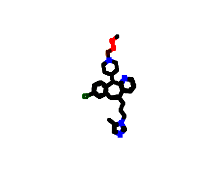 COOSN1CCC(C2c3ccc(Cl)cc3C=C(CCCn3cncc3C)c3cccnc32)CC1